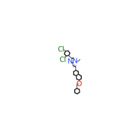 CCn1cc(-c2ccc(Cl)cc2Cl)nc1/C=C/c1ccc2cc(OCc3ccccc3)ccc2c1